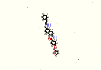 O=C(N[C@H]1CCc2cc(CNCCC3=CCCCC3)ccc2C1)c1ccc(OC[C@@H]2CCCO2)cc1